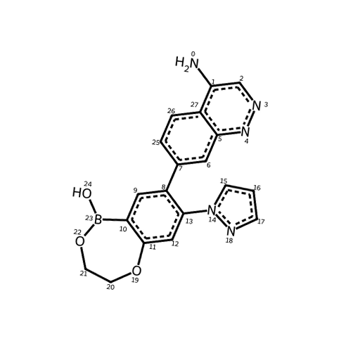 Nc1cnnc2cc(-c3cc4c(cc3-n3cccn3)OCCOB4O)ccc12